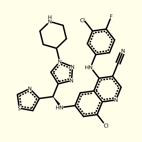 N#Cc1cnc2c(Cl)cc(N[C@@H](c3cscn3)c3cn(C4CCNCC4)nn3)cc2c1Nc1ccc(F)c(Cl)c1